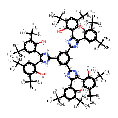 CCC(C)(C)c1cc(-c2nc(-c3cc(-c4nc(-c5cc(C(C)(C)CC)cc(C(C)(C)CC)c5O)c(-c5cc(C(C)(C)CC)cc(C(C)(C)CC)c5O)[nH]4)cc(-c4nc(-c5cc(C(C)(C)CC)cc(C(C)(C)CC)c5O)c(-c5cc(C(C)(C)CC)cc(C(C)(C)CC)c5O)[nH]4)c3)[nH]c2-c2cc(C(C)(C)CC)cc(C(C)(C)CC)c2O)c(O)c(C(C)(C)CC)c1